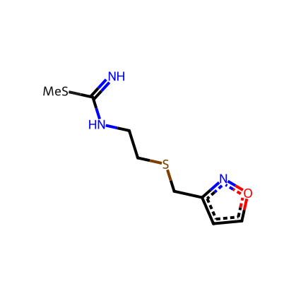 CSC(=N)NCCSCc1ccon1